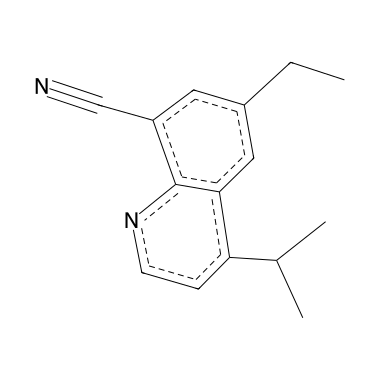 CCc1cc(C#N)c2nccc(C(C)C)c2c1